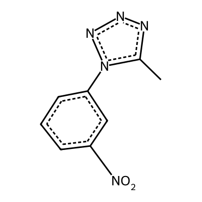 Cc1nnnn1-c1cccc([N+](=O)[O-])c1